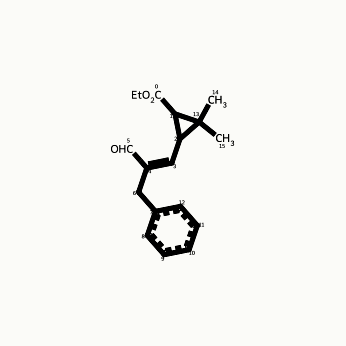 CCOC(=O)C1C(C=C(C=O)Cc2ccccc2)C1(C)C